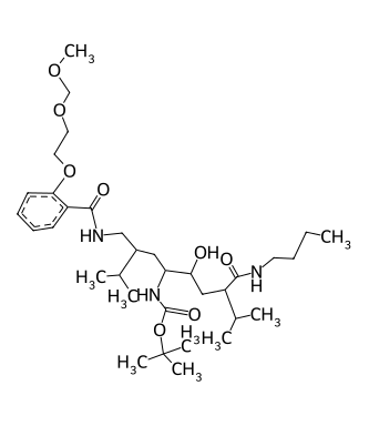 CCCCNC(=O)C(CC(O)C(CC(CNC(=O)c1ccccc1OCCOCOC)C(C)C)NC(=O)OC(C)(C)C)C(C)C